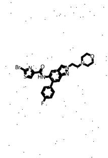 O=C(Nc1cc2cn(CCN3CCOCC3)nc2cc1-c1ccc(F)cc1)c1csc(Br)n1